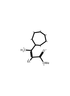 CCC(C(=O)OC)=C(C)C1CCCCCC1